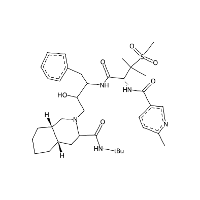 Cc1ccc(C(=O)N[C@H](C(=O)NC(Cc2ccccc2)C(O)CN2C[C@H]3CCCC[C@H]3CC2C(=O)NC(C)(C)C)C(C)(C)S(C)(=O)=O)cn1